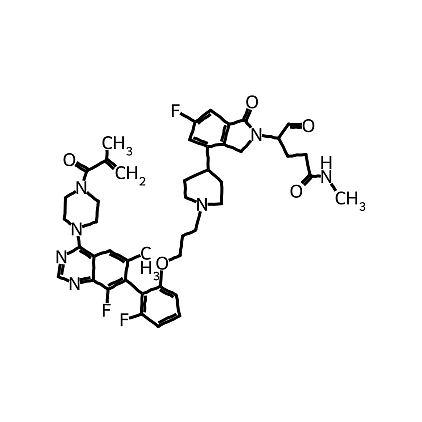 C=C(C)C(=O)N1CCN(c2ncnc3c(F)c(-c4c(F)cccc4OCCCN4CCC(c5cc(F)cc6c5CN(C(C=O)CCC(=O)NC)C6=O)CC4)c(C)cc23)CC1